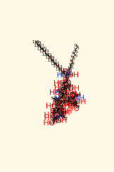 CCCCCCCCCCCCC/C=C/[C@@H](O)[C@H](CO[C@@H]1OC(CO)[C@@H](O[C@@H]2OC(CO)[C@H](O[C@@H]3OC(CO[C@]4(C(=O)O)CC(O)[C@@H](NC(C)=O)C([C@H](O)[C@H](O)CO)O4)[C@H](O)[C@H](O[C@@H]4OC(CO)[C@H](O)[C@H](O[C@]5(C(=O)O)CC(O)[C@@H](NC(C)=O)C([C@H](O)[C@H](O)CO)O5)C4O)C3NC(C)=O)[C@H](O)C2O)[C@H](O)C1O)NC(=O)CCCCCCCCCCCCCCCCCCCCC